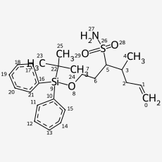 C=CCC(C)C(CCO[Si](c1ccccc1)(c1ccccc1)C(C)(C)C)S(N)(=O)=O